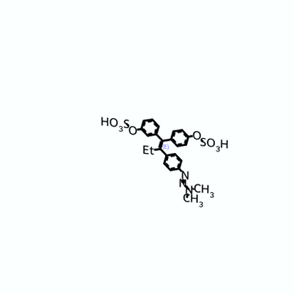 CC/C(=C(/c1ccc(OS(=O)(=O)O)cc1)c1cccc(OS(=O)(=O)O)c1)c1ccc(N=NN(C)C)cc1